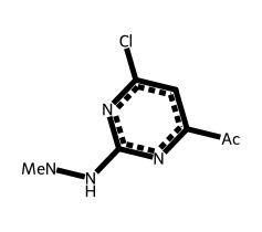 CNNc1nc(Cl)cc(C(C)=O)n1